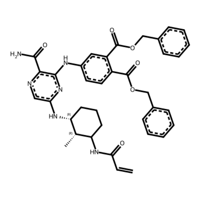 C=CC(=O)NC1CCC[C@@H](Nc2cnc(C(N)=O)c(Nc3ccc(C(=O)OCc4ccccc4)c(C(=O)OCc4ccccc4)c3)n2)[C@H]1C